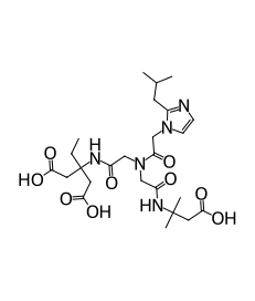 CCC(CC(=O)O)(CC(=O)O)NC(=O)CN(CC(=O)NC(C)(C)CC(=O)O)C(=O)Cn1ccnc1CC(C)C